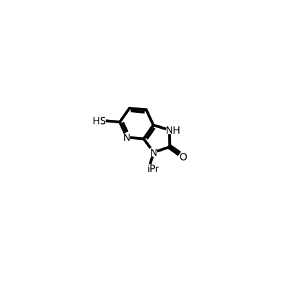 CC(C)n1c(=O)[nH]c2ccc(S)nc21